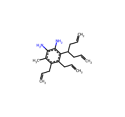 C=CCc1c(C)c(N)c(N)c(C(CC=C)CC=C)c1CC=C